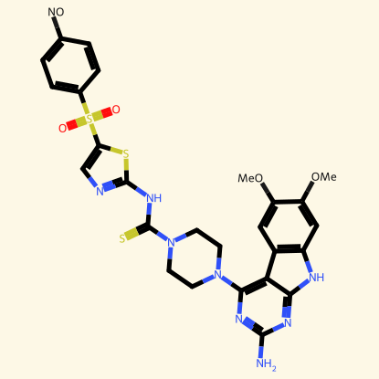 COc1cc2[nH]c3nc(N)nc(N4CCN(C(=S)Nc5ncc(S(=O)(=O)c6ccc(N=O)cc6)s5)CC4)c3c2cc1OC